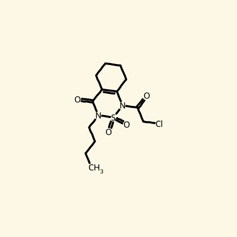 CCCCN1C(=O)C2=C(CCCC2)N(C(=O)CCl)S1(=O)=O